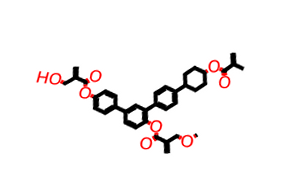 C=C(C)C(=O)OC1CCC(c2ccc(-c3cc(-c4ccc(OC(=O)C(=C)CO)cc4)ccc3OC(=O)C(=C)COC)cc2)CC1